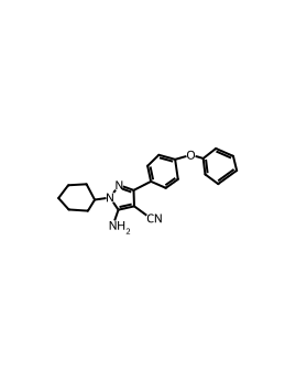 N#Cc1c(-c2ccc(Oc3ccccc3)cc2)nn(C2CCCCC2)c1N